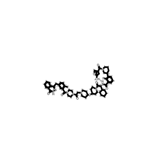 CC12CC(C(=O)N3CCCC(c4cccc(C(=O)N[C@@H](C(=O)N5CCC(OC6CCN(CC(=O)N7CCN(C(=O)c8cc(Cc9n[nH]c(=O)c%10ccccc9%10)ccc8F)CC7)CC6)CC5)C5CCCCC5)c4F)C3)(CO1)C2